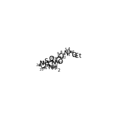 CCOC[C@@H]1CCN(c2ccc3c(c2)OC[C@H](NC(=O)c2sc4nc(C)ccc4c2N)C3)C1